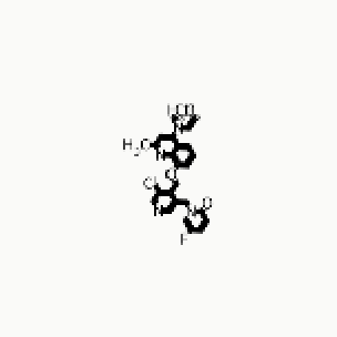 C=CN(/C=C\C)c1cc(C)nc2c(OCc3c(Cl)cncc3Cn3cc(F)ccc3=O)cccc12